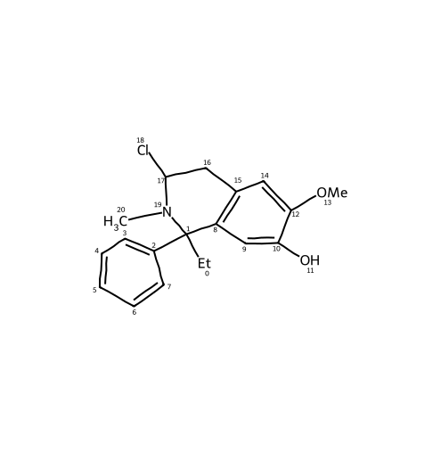 CCC1(c2ccccc2)c2cc(O)c(OC)cc2CC(Cl)N1C